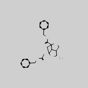 B[C@@H]1O[C@@]2(CC(=O)OCc3ccccc3)CC3(C(=O)OCc4ccccc4)OCC1C32